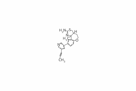 CC#Cc1cncc(-c2ccc3c(c2)[C@]2(C)N=C(N)SC[C@@H]2CCO3)c1